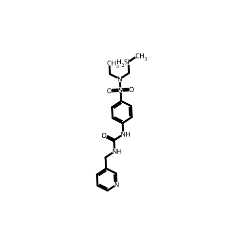 CCN(C[SiH2]C)S(=O)(=O)c1ccc(NC(=O)NCc2cccnc2)cc1